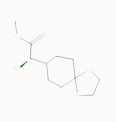 COC(=O)[C@H](Br)C1CCC2(CC1)OCCO2